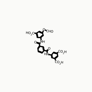 O=COc1cc(NC(=O)c2cccc(C(=O)Nc3cc(C(=O)O)cc(C(=O)O)c3)c2)cc(C(=O)O)c1